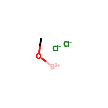 [B+2]OC.[Cl-].[Cl-]